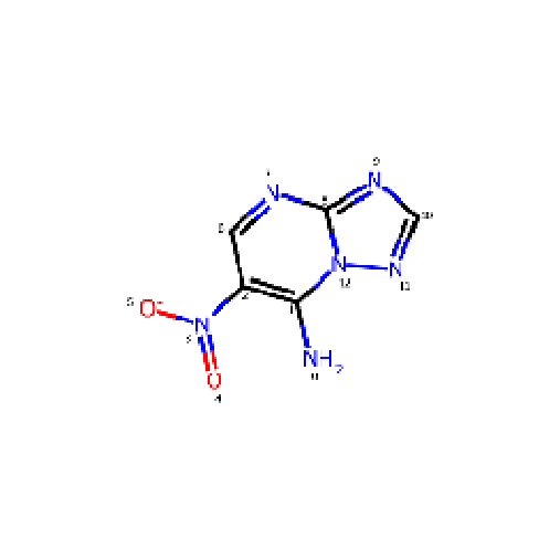 Nc1c([N+](=O)[O-])cnc2ncnn12